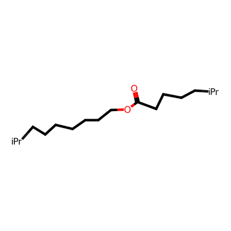 CC(C)CCCCCCCOC(=O)CCCCC(C)C